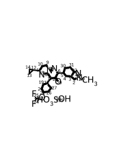 Cn1cc2cc(-c3nn4ccc(C5CC5)nc4c(-c4ccc(OC(F)F)cc4)c3=O)ccc2n1.O=S(=O)(O)O